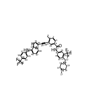 Cc1ccc(C(=O)Nc2ccc(CN3CCN(C)CC3)c(C(F)(F)F)c2)cc1C#Cc1cnc2c(Nc3ccc(C(F)(F)F)cc3)cccn12